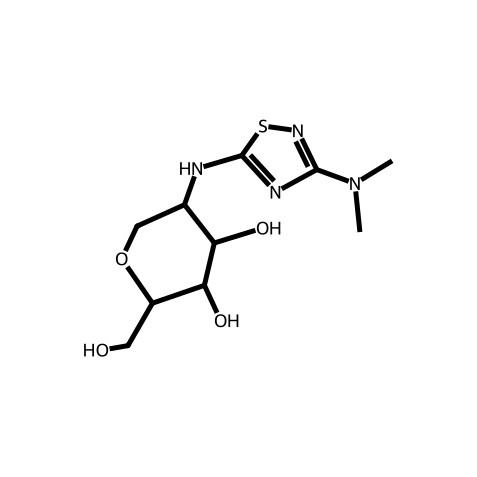 CN(C)c1nsc(NC2COC(CO)C(O)C2O)n1